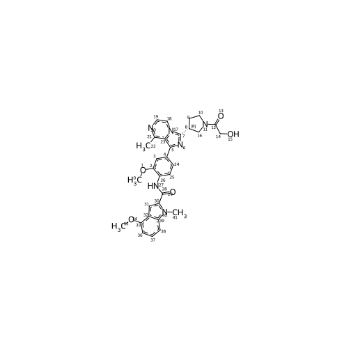 COc1cc(-c2nc([C@@H]3CCN(C(=O)CO)C3)n3ccnc(C)c23)ccc1NC(=O)c1cc2c(OC)cccc2n1C